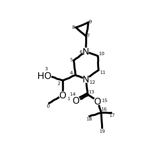 COC(O)C1CN(C2CC2)CCN1C(=O)OC(C)(C)C